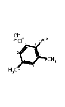 Cc1cc[c]([Al+2])c(C)c1.[Cl-].[Cl-]